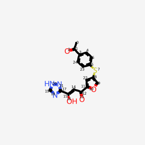 CC(=O)c1ccc(Sc2coc(C(=O)C=C(O)c3nc[nH]n3)c2)cc1